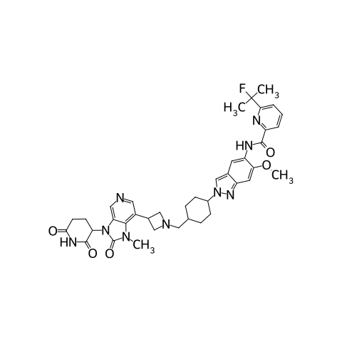 COc1cc2nn(C3CCC(CN4CC(c5cncc6c5n(C)c(=O)n6C5CCC(=O)NC5=O)C4)CC3)cc2cc1NC(=O)c1cccc(C(C)(C)F)n1